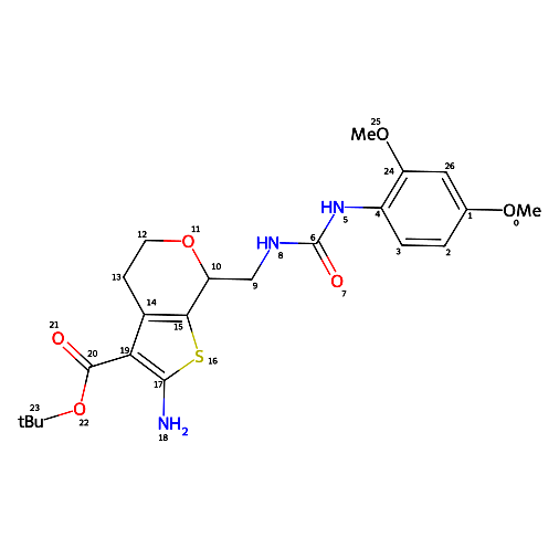 COc1ccc(NC(=O)NCC2OCCc3c2sc(N)c3C(=O)OC(C)(C)C)c(OC)c1